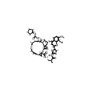 COc1ccc2c(O[C@@H]3C[C@H]4C(=O)N[C@]5(C(=O)O)CC5/C=C\CCCCC[C@H](NC(=O)OC5CCCC5)C(=O)N4C3)cc(-c3csc(NC(=O)C(C)C)n3)nc2c1Br